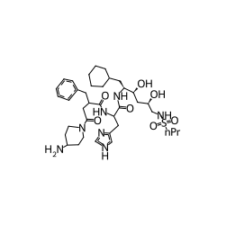 CCCS(=O)(=O)NC[C@H](O)C[C@H](O)[C@H](CC1CCCCC1)NC(=O)C(Cc1c[nH]cn1)NC(=O)C(CC(=O)N1CCC(N)CC1)Cc1ccccc1